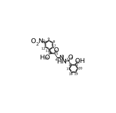 O=C(N/N=C/c1oc2ccc([N+](=O)[O-])cc2c1O)c1ccccc1O